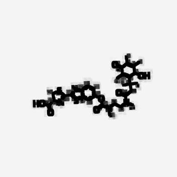 CC1=C(C)C(O)C(C(C)(C)CC(=O)N(C)CCN(C)C(=O)Oc2ccc3nc(C4=N[C@@H](C(=O)O)CS4)sc3c2)=C(C)C1=O